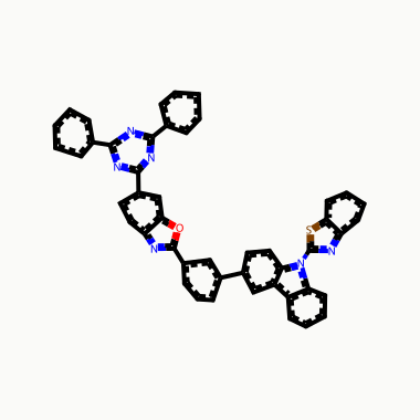 c1ccc(-c2nc(-c3ccccc3)nc(-c3ccc4nc(-c5cccc(-c6ccc7c(c6)c6ccccc6n7-c6nc7ccccc7s6)c5)oc4c3)n2)cc1